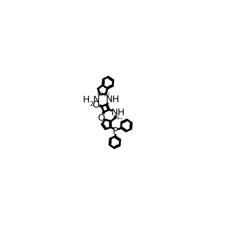 C[C@@H](Nc1c(N[C@H]2c3ccccc3C[C@@H]2N)c(=O)c1=O)C1=C(P(c2ccccc2)c2ccccc2)C=CC1